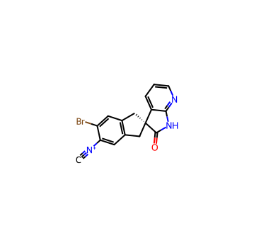 [C-]#[N+]c1cc2c(cc1Br)C[C@@]1(C2)C(=O)Nc2ncccc21